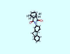 O=C1[C@@H]2[C@H](C(=O)N1c1ccc3c(c1)Cc1ccccc1-3)[C@@H]1C=C[C@H]2CC1